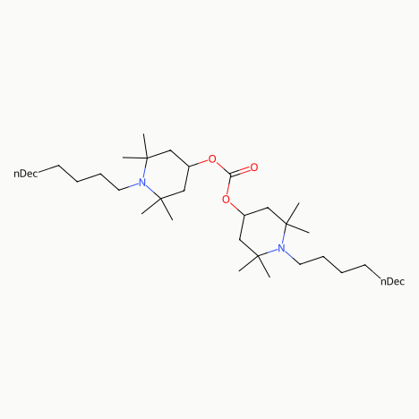 CCCCCCCCCCCCCCN1C(C)(C)CC(OC(=O)OC2CC(C)(C)N(CCCCCCCCCCCCCC)C(C)(C)C2)CC1(C)C